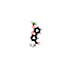 O=C(c1ccc2oc3c(OC(F)F)cccc3c2c1)[N+](=O)[O-]